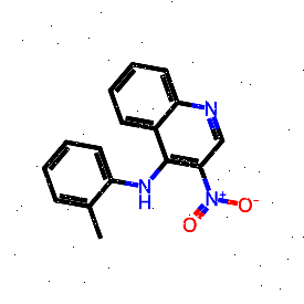 Cc1ccccc1Nc1c([N+](=O)[O-])cnc2ccccc12